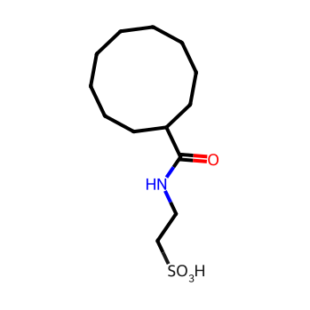 O=C(NCCS(=O)(=O)O)C1CCCCCCCCC1